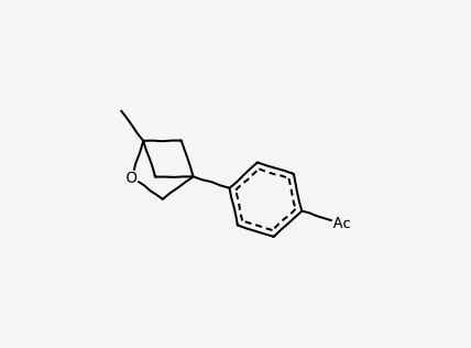 CC(=O)c1ccc(C23COC(C)(C2)C3)cc1